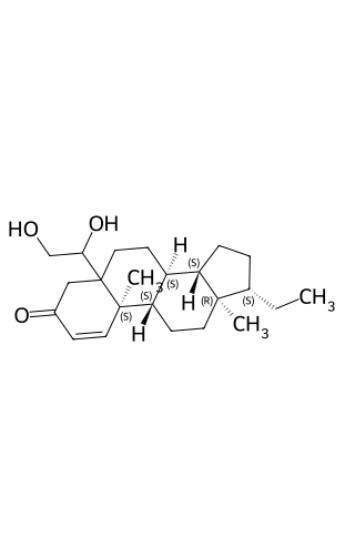 CC[C@H]1CC[C@H]2[C@@H]3CCC4(C(O)CO)CC(=O)C=C[C@]4(C)[C@H]3CC[C@]12C